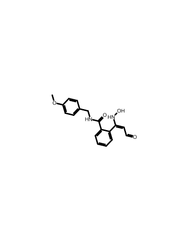 COc1ccc(CNC(=O)c2ccccc2/C(=C\C=O)NO)cc1